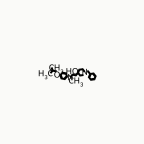 CC(C)COc1ccc(N(C)CCC2(O)CCN(Cc3ccccc3)CC2)cc1